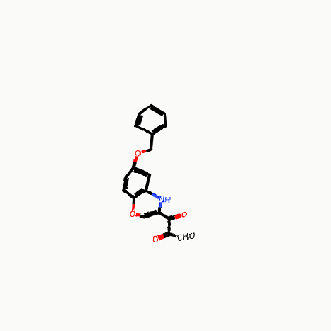 O=CC(=O)C(=O)C1=COc2ccc(OCc3ccccc3)cc2N1